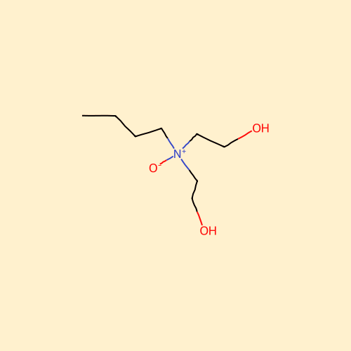 CCCC[N+]([O-])(CCO)CCO